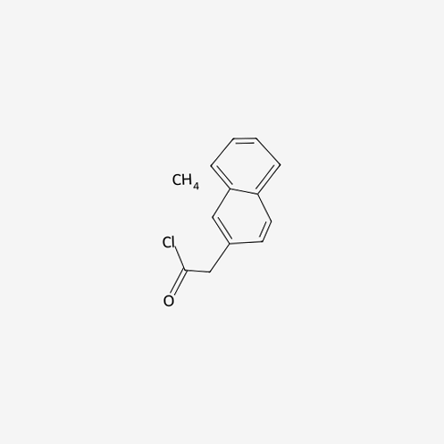 C.O=C(Cl)Cc1ccc2ccccc2c1